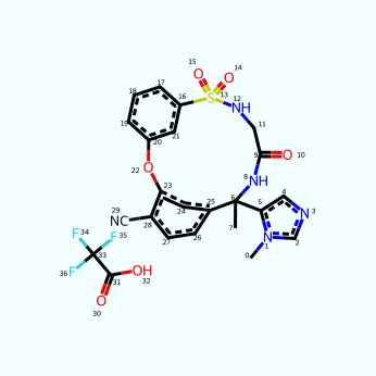 Cn1cncc1C1(C)NC(=O)CNS(=O)(=O)c2cccc(c2)Oc2cc1ccc2C#N.O=C(O)C(F)(F)F